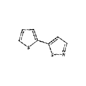 c1csc(-c2ccns2)c1